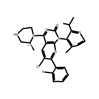 Cc1ccnc(C(C)C)c1-n1c(=O)nc(N2CCNC[C@@H]2C)c2cc(Cl)c(-c3ccccc3F)nc21